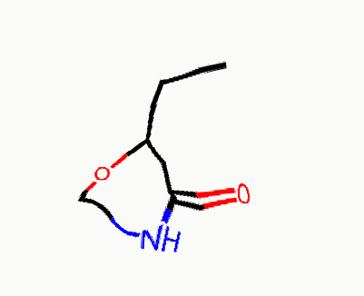 CCC1OCNC1=O